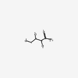 NC(=O)C(Cl)C(Cl)CCl